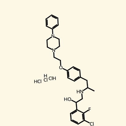 CC(Cc1ccc(OCCN2CCN(c3ccccc3)CC2)cc1)NCC(O)c1cccc(Cl)c1F.Cl.Cl.Cl